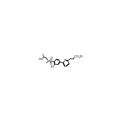 CCOC(=O)CCc1cccc(-c2ccc(S(=O)(=O)N(C)C[C@H](C)O)c(CC)c2)n1